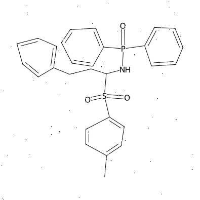 Cc1ccc(S(=O)(=O)C(CCc2ccccc2)NP(=O)(c2ccccc2)c2ccccc2)cc1